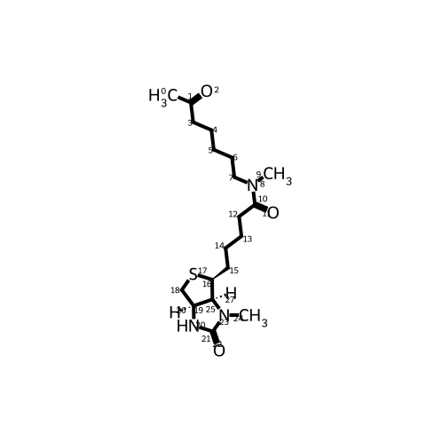 CC(=O)CCCCCN(C)C(=O)CCCC[C@@H]1SC[C@@H]2NC(=O)N(C)[C@@H]21